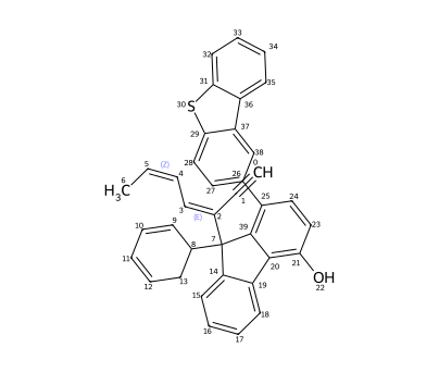 C#C/C(=C\C=C/C)C1(C2C=CC=CC2)c2ccccc2-c2c(O)ccc(-c3ccc4sc5ccccc5c4c3)c21